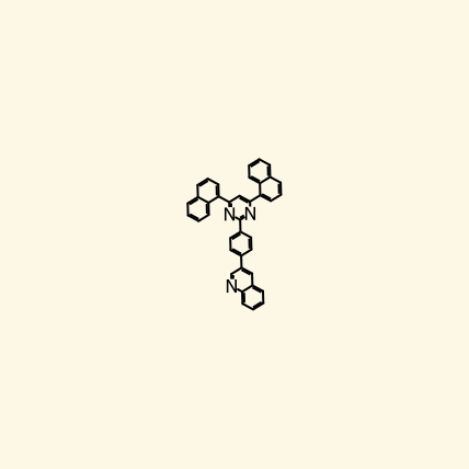 c1ccc2ncc(-c3ccc(-c4nc(-c5cccc6ccccc56)cc(-c5cccc6ccccc56)n4)cc3)cc2c1